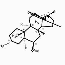 CO[C@@H]1C[C@@H]2[C@H](CC[C@]34C(=O)OC[C@H]3CC[C@@H]24)[C@@]2(C)CC[C@@H](C)C[C@H]12